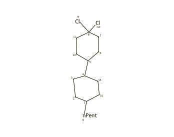 CCCCCC1CCC(C2CCC(Cl)(Cl)CC2)CC1